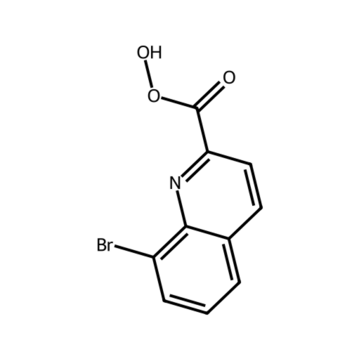 O=C(OO)c1ccc2cccc(Br)c2n1